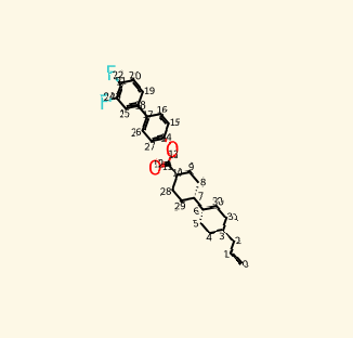 C=CC[C@H]1CC[C@H]([C@H]2CC[C@H](C(=O)Oc3ccc(-c4ccc(F)c(F)c4)cc3)CC2)CC1